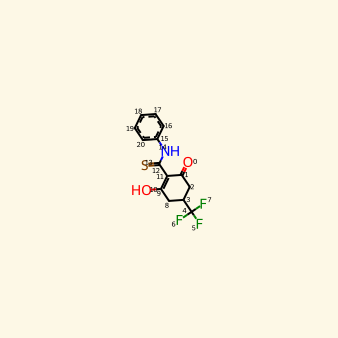 O=C1CC(C(F)(F)F)CC(O)=C1C(=S)Nc1ccccc1